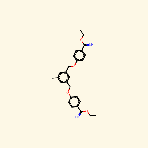 CCOC(=N)c1ccc(OCc2cc(C)cc(COc3ccc(C(=N)OCC)cc3)c2)cc1